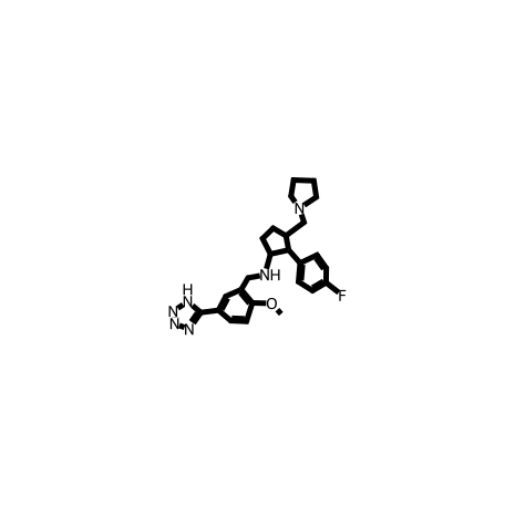 COc1ccc(-c2nnn[nH]2)cc1CNC1CCC(CN2CCCC2)C1c1ccc(F)cc1